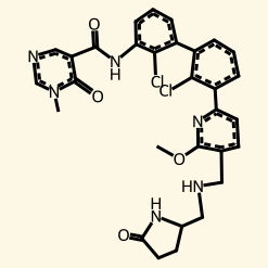 COc1nc(-c2cccc(-c3cccc(NC(=O)c4cncn(C)c4=O)c3Cl)c2Cl)ccc1CNCC1CCC(=O)N1